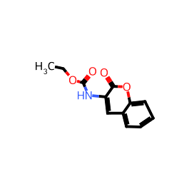 CCOC(=O)Nc1cc2ccccc2oc1=O